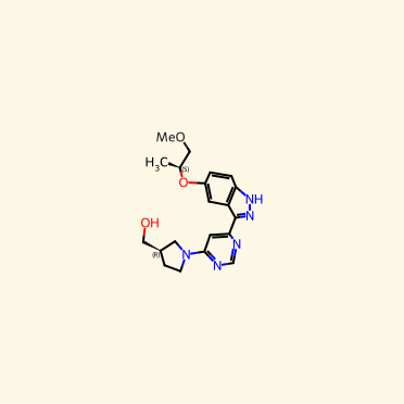 COC[C@H](C)Oc1ccc2[nH]nc(-c3cc(N4CC[C@@H](CO)C4)ncn3)c2c1